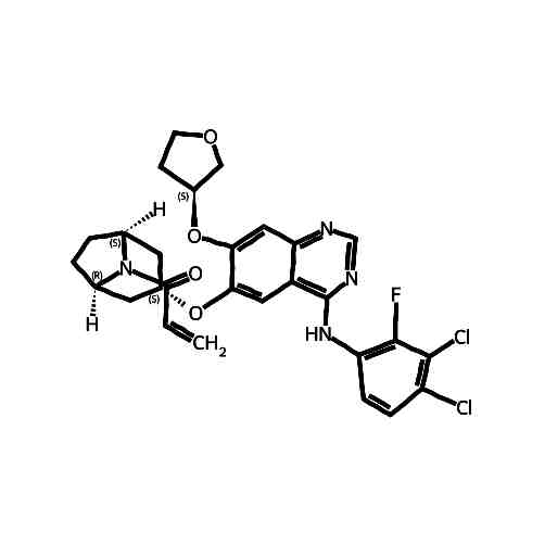 C=CC(=O)N1[C@@H]2CC[C@H]1C[C@H](Oc1cc3c(Nc4ccc(Cl)c(Cl)c4F)ncnc3cc1O[C@H]1CCOC1)C2